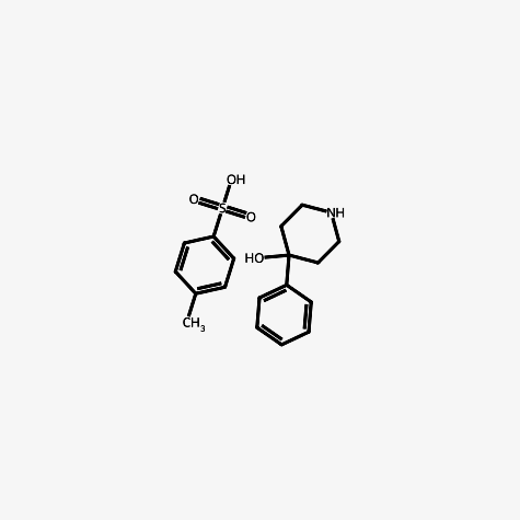 Cc1ccc(S(=O)(=O)O)cc1.OC1(c2ccccc2)CCNCC1